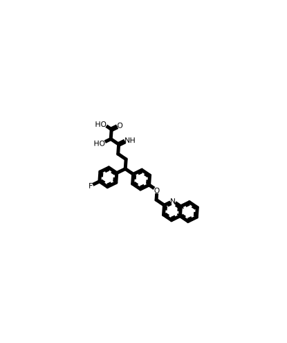 N=C(CCC(c1ccc(F)cc1)c1ccc(OCc2ccc3ccccc3n2)cc1)C(O)C(=O)O